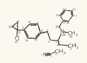 CC#N.CCC(CCc1ccc(C2(Cl)CC2)cc1)N(C)Cc1ccccc1